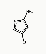 CCc1cc(N)ns1